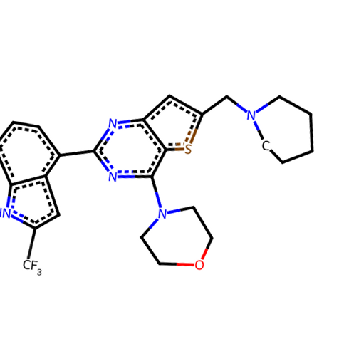 FC(F)(F)c1cc2c(-c3nc(N4CCOCC4)c4sc(CN5CCCCC5)cc4n3)cccc2[nH]1